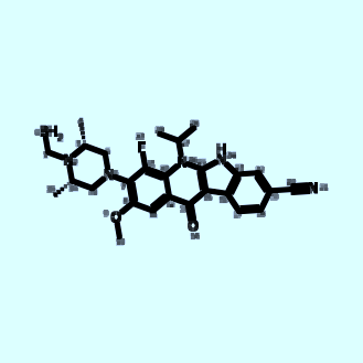 BCN1[C@H](C)CN(c2c(OC)cc3c(=O)c4c5ccc(C#N)cc5[nH]c4n(C(C)C)c3c2F)C[C@@H]1C